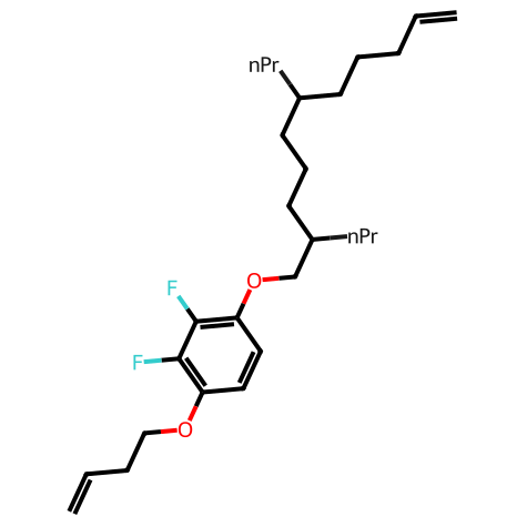 C=CCCCC(CCC)CCCC(CCC)COc1ccc(OCCC=C)c(F)c1F